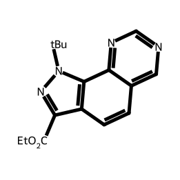 CCOC(=O)c1nn(C(C)(C)C)c2c1ccc1cncnc12